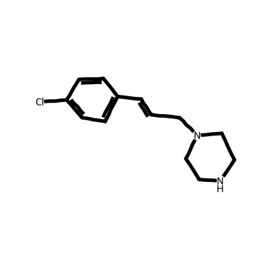 Clc1ccc(C=CCN2CCNCC2)cc1